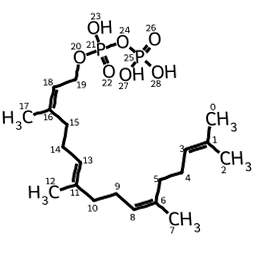 CC(C)=CCC/C(C)=C\CCC(C)=CCC/C(C)=C\COP(=O)(O)OP(=O)(O)O